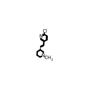 CN1CCC[C@@H](C=Cc2ccc(Cl)nc2)C1